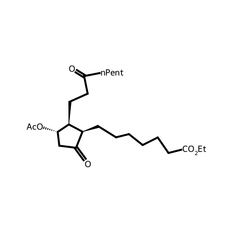 CCCCCC(=O)CC[C@@H]1[C@@H](OC(C)=O)CC(=O)[C@@H]1CCCCCCC(=O)OCC